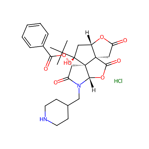 CC(C)(C)[C@]1(O)C[C@@H]2OC(=O)C[C@@]23C(=O)O[C@@H]2N(CC4CCNCC4)C(=O)[C@H](OC(=O)c4ccccc4)[C@]213.Cl